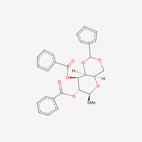 CS[C@@H]1O[C@@H]2COC(c3ccccc3)O[C@@H]2[C@H](OC(=O)c2ccccc2)[C@H]1OC(=O)c1ccccc1